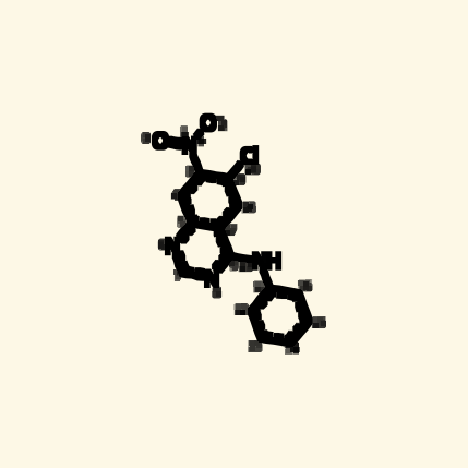 O=[N+]([O-])c1cc2ncnc(Nc3ccccc3)c2cc1Cl